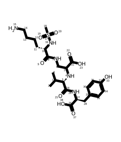 CC(C)[C@H](NC(CNC(=O)[C@H](CCCCN)NS(C)(=O)=O)C(=O)O)C(=O)N[C@@H](Cc1ccc(O)cc1)C(=O)O